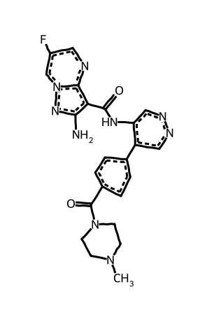 CN1CCN(C(=O)c2ccc(-c3cnncc3NC(=O)c3c(N)nn4cc(F)cnc34)cc2)CC1